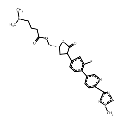 CN(C)CCCC(=O)OC[C@H]1CC(c2ccc(-c3ccc(-c4nnn(C)n4)nc3)c(F)c2)C(=O)O1